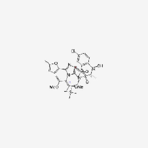 C=C(OC)/C(=C(\C)OC)n1c(-c2ccc(C)o2)nnc1N(CC[Si](C)(C)C)S(=O)(=O)[C@@H](C)[C@H](O)c1ccc(Cl)cc1S(C)(=O)=O